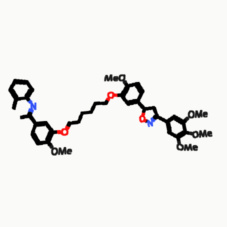 COc1ccc(/C(C)=N/c2ccccc2C)cc1OCCCCCCOc1cc(C2CC(c3cc(OC)c(OC)c(OC)c3)=NO2)ccc1OC